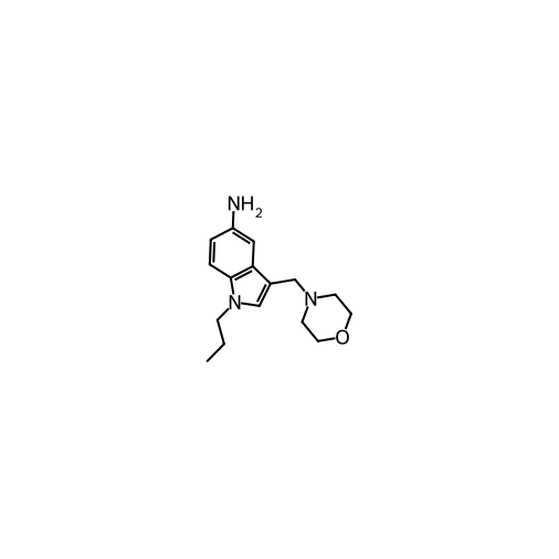 CCCn1cc(CN2CCOCC2)c2cc(N)ccc21